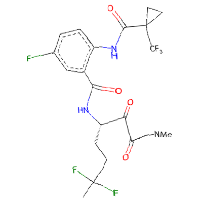 CNC(=O)C(=O)[C@H](CCC(C)(F)F)NC(=O)c1cc(F)ccc1NC(=O)C1(C(F)(F)F)CC1